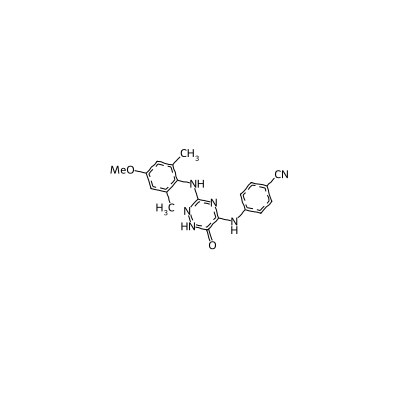 COc1cc(C)c(Nc2n[nH]c(=O)c(Nc3ccc(C#N)cc3)n2)c(C)c1